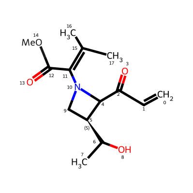 C=CC(=O)C1[C@@H](C(C)O)CN1C(C(=O)OC)=C(C)C